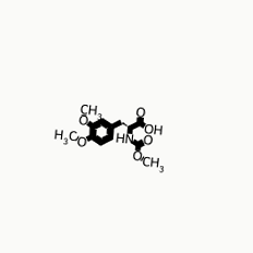 COC(=O)N[C@H](Cc1ccc(OC)c(OC)c1)C(=O)O